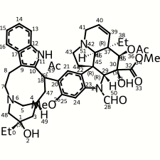 CC[C@]1(O)C[C@@H]2CN(CCc3c([nH]c4ccccc34)[C@@](C(C)=O)(c3cc4c(cc3OC)N(C=O)[C@H]3[C@@](O)(C(=O)OC)[C@H](OC(C)=O)[C@]5(CC)C=CCN6CC[C@]43[C@@H]65)C2)C1